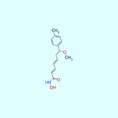 COC(C/C=C/C=C/C(=O)NO)c1ccc(C)cc1